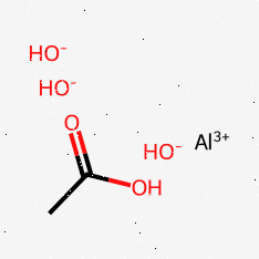 CC(=O)O.[Al+3].[OH-].[OH-].[OH-]